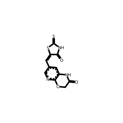 O=C1COc2ncc(C=C3SC(=S)NC3=O)cc2N1